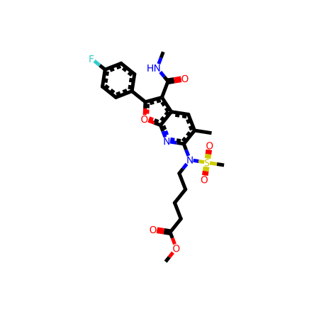 CNC(=O)c1c(-c2ccc(F)cc2)oc2nc(N(CCCCC(=O)OC)S(C)(=O)=O)c(C)cc12